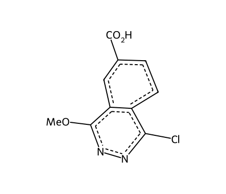 COc1nnc(Cl)c2ccc(C(=O)O)cc12